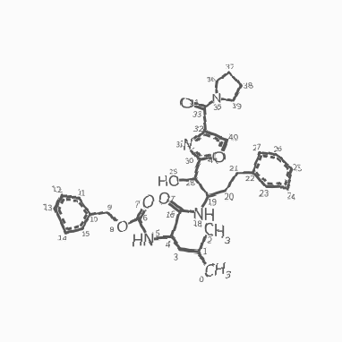 CC(C)CC(NC(=O)OCc1ccccc1)C(=O)NC(CCc1ccccc1)C(O)c1nc(C(=O)N2CCCC2)co1